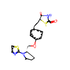 O=C1NC(=O)C(Cc2ccc(OC[C@@H]3CCCN3c3nccs3)cc2)S1